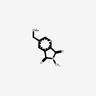 COCc1cnc2c(c1)C(=O)N(C)C2=O